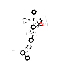 C[C@@H]1O[C@@H](N(c2ccc(S(=O)(=O)NC(=O)c3ccc(N4CCN(CC5=C(c6ccc(Cl)cc6)CCC(C)(C)C5)CC4)cc3)cc2S(=O)(=O)C(F)(F)F)[C@H](CCN2CCOCC2)CSc2ccccc2)C[C@H](O)[C@@H]1O